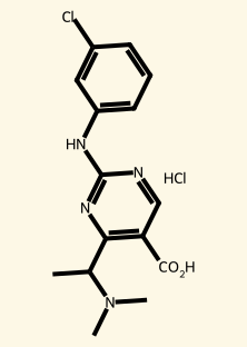 CC(c1nc(Nc2cccc(Cl)c2)ncc1C(=O)O)N(C)C.Cl